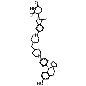 O=C1CCC(N2Cc3cc(N4CCN(CC5CCN(c6ccc([C@@H]7c8ccc(O)cc8CCC78CCCC8)cc6)CC5)CC4)ccc3C2=O)C(=O)N1